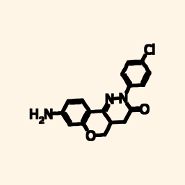 Nc1ccc2c(c1)OCC1CC(=O)N(c3ccc(Cl)cc3)N=C21